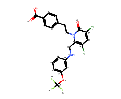 O=C(O)c1ccc(CCn2c(CNc3cccc(OC(F)(F)F)c3)c(Cl)cc(Cl)c2=O)cc1